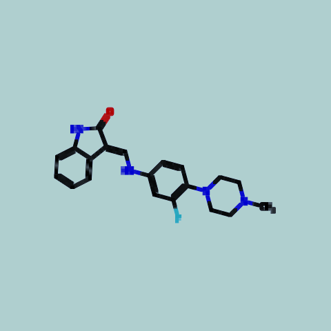 CN1CCN(c2ccc(N/C=C3/C(=O)Nc4ccccc43)cc2F)CC1